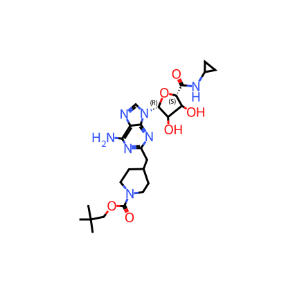 CC(C)(C)COC(=O)N1CCC(Cc2nc(N)c3ncn([C@@H]4O[C@H](C(=O)NC5CC5)C(O)C4O)c3n2)CC1